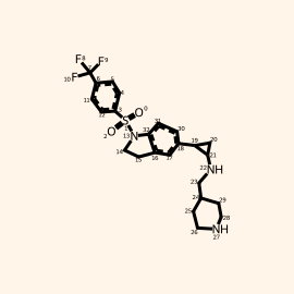 O=S(=O)(c1ccc(C(F)(F)F)cc1)N1CCc2cc(C3CC3NCC3CCNCC3)ccc21